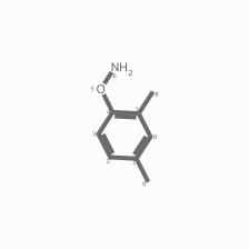 Cc1ccc(ON)c(C)c1